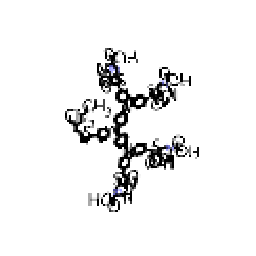 CCCCC(CC)Cc1ccc(-c2ccc(N(c3ccc(-n4c5ccc(-c6sc(/C=C(\C#N)C(=O)O)c7c6OCCO7)cc5c5cc(-c6sc(/C=C(\C#N)C(=O)O)c7c6OCCO7)ccc54)cc3)c3ccc(-n4c5ccc(-c6sc(/C=C(\C#N)C(=O)O)c7c6OCCO7)cc5c5cc(-c6sc(/C=C(\C#N)C(=O)O)c7c6OCCO7)ccc54)cc3)cc2)s1